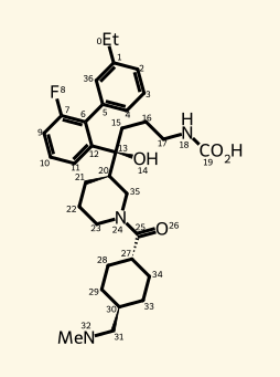 CCc1cccc(-c2c(F)cccc2[C@](O)(CCCNC(=O)O)[C@@H]2CCCN(C(=O)[C@H]3CC[C@H](CNC)CC3)C2)c1